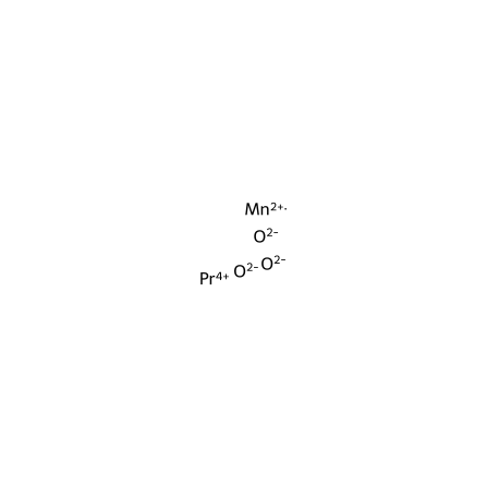 [Mn+2].[O-2].[O-2].[O-2].[Pr+4]